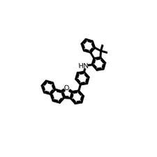 CC1(C)c2ccccc2-c2c(Nc3ccc(-c4cccc5c4oc4c6ccccc6ccc54)cc3)cccc21